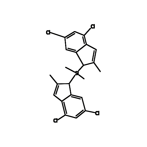 CC1=Cc2c(Cl)cc(Cl)cc2C1[Si](C)(C)C1C(C)=Cc2c(Cl)cc(Cl)cc21